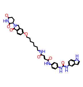 O=C(/C=C/C(=O)Nc1ccc(NC(=O)Nc2ccc3[nH]ccc3c2)cc1)NCCCCCCCOc1ccc2c(c1)CN(C1CCC(=O)NC1=O)C2=O